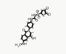 CNc1ccc2c(=O)n(-c3ccc(NC(=O)NS(=O)(=O)c4cc(Cl)c(Cl)s4)cc3)cc(S)c2c1